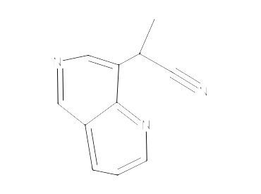 CC(C#N)c1cncc2cccnc12